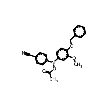 COc1cc(N(OC(C)=O)c2ccc(C#N)cc2)ccc1OCc1ccccc1